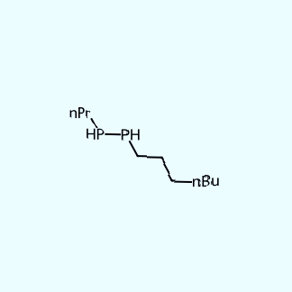 CCCCCCCPPCCC